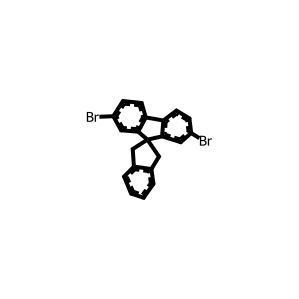 Brc1ccc2c(c1)C1(Cc3ccccc3C1)c1cc(Br)ccc1-2